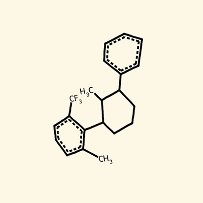 Cc1cccc(C(F)(F)F)c1C1CCCC(c2ccccc2)C1C